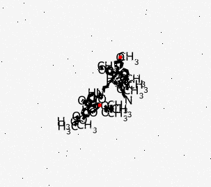 COc1ccc(C(OCC(CCCCNC(=O)c2ccc3c(c2)C2(OC3=O)c3ccc(OC(=O)C(C)(C)C)cc3Oc3cc(OC(=O)C(C)(C)C)ccc32)COP(OCCC#N)N(C(C)C)C(C)C)(c2ccccc2)c2ccc(OC)cc2)cc1